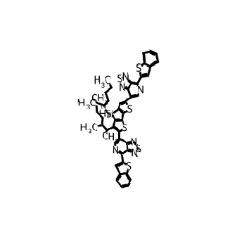 CCCCC(C)C(C)c1c(-c2cnc(-c3cc4ccccc4s3)c3nsnc23)sc2c1[Si@H](C[C@@H](CC)CCCC)c1cc(-c3cnc(-c4cc5ccccc5s4)c4nsnc34)sc1-2